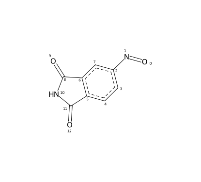 O=Nc1ccc2c(c1)C(=O)NC2=O